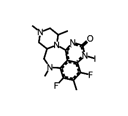 Cc1c(F)c2c3c(nc(=O)n(I)c3c1F)N1C(C)CN(C)CC1CN2C